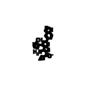 Cn1nccc1-c1cc(-c2ccc3ncncc3c2)nc2sc([S+]([O-])C3CCC3)c(N)c12